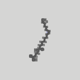 CCCCCC/C=C\CCCCCCCC(=O)NCCCC(=O)O